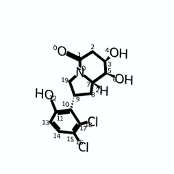 O=C1C[C@@H](O)[C@@H](O)[C@@H]2C[C@H](c3c(O)ccc(Cl)c3Cl)CN12